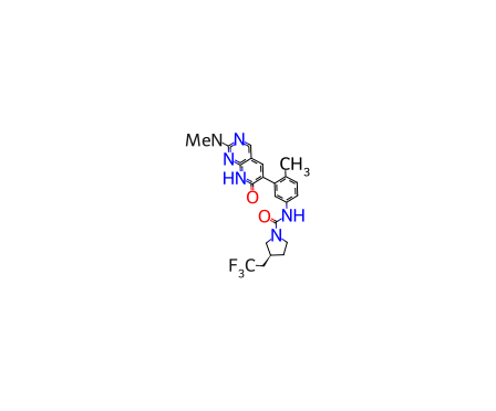 CNc1ncc2cc(-c3cc(NC(=O)N4CC[C@@H](CC(F)(F)F)C4)ccc3C)c(=O)[nH]c2n1